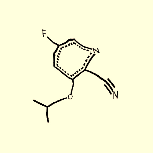 CC(C)Oc1cc(F)cnc1C#N